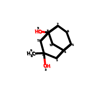 CC1(O)CC2CCCC(O)(C2)C1